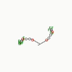 CCC(CCCCCCCOCC1CCC(C2CCC(C(F)(F)Oc3cc(F)c(F)c(F)c3)CC2)CC1)CCCCCCCOCC1CCC(C2CCC(C(F)(F)Oc3cc(F)c(S(F)(F)(F)(F)F)c(F)c3)CC2)CC1